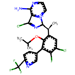 CC(C)Oc1c([C@H](C)C2N=C(Cl)c3c(N)ncc[n+]32)cc(Cl)c(F)c1-c1ccc(C(F)(F)F)nc1